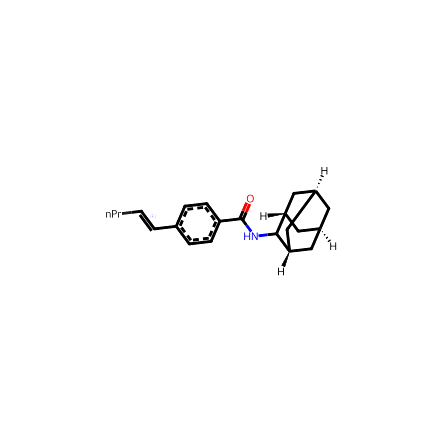 CCC/C=C/c1ccc(C(=O)NC2[C@H]3C[C@H]4C[C@H](C3)C[C@@H]2C4)cc1